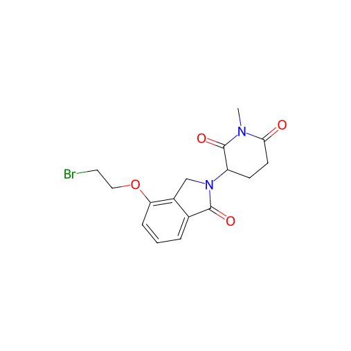 CN1C(=O)CCC(N2Cc3c(OCCBr)cccc3C2=O)C1=O